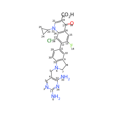 Nc1ncc(CN2CCc3cc(-c4c(F)cc5c(=O)c(C(=O)O)cn(C6CC6)c5c4Cl)ccc32)c(N)n1